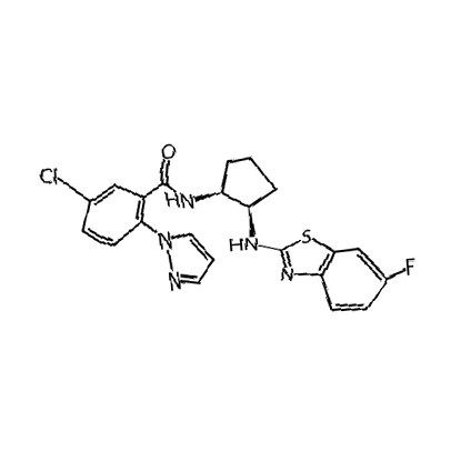 O=C(N[C@H]1CCC[C@H]1Nc1nc2ccc(F)cc2s1)c1cc(Cl)ccc1-n1cccn1